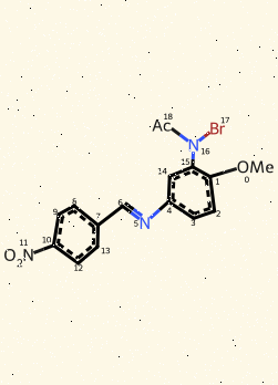 COc1ccc(N=Cc2ccc([N+](=O)[O-])cc2)cc1N(Br)C(C)=O